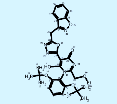 BC(B)(B)Oc1cccc(OC(B)(B)B)c1-n1c(COCC)nc(=O)c(-c2nnc(Cc3noc4ccccc34)o2)c1O